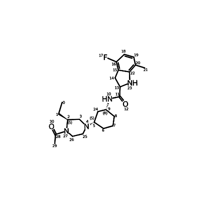 CC[C@H]1CN([C@H]2CCC[C@@H](NC(=O)C3Cc4c(F)ccc(C)c4N3)C2)CCN1C(C)=O